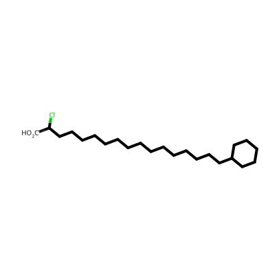 O=C(O)C(Cl)CCCCCCCCCCCCCCCC1CCCCC1